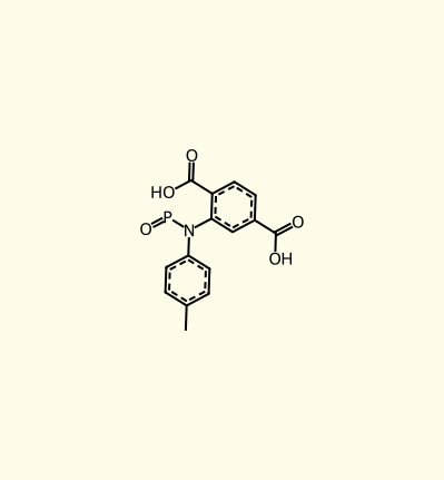 Cc1ccc(N(P=O)c2cc(C(=O)O)ccc2C(=O)O)cc1